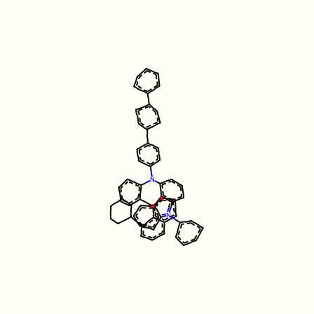 c1ccc(-c2ccc(-c3ccc(N(c4ccccc4-c4cccc5cccc(C6CCCCC6)c45)c4cccc5c4c4ccccc4n5-c4ccccc4)cc3)cc2)cc1